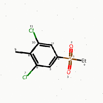 CCS(=O)(=O)c1cc(Cl)c(C)c(Cl)c1